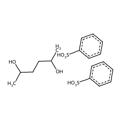 CC(O)CCC(C)O.O=S(=O)(O)c1ccccc1.O=S(=O)(O)c1ccccc1